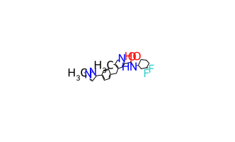 Cc1cnc(C(=O)NC2CC(F)(F)CCC2O)cc1Cc1ccc(-c2ccn(C)n2)cc1